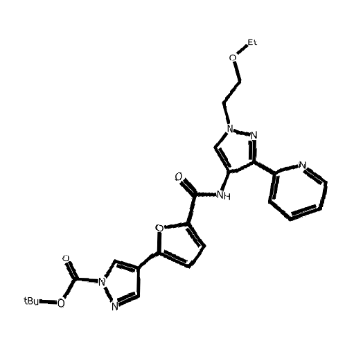 CCOCCn1cc(NC(=O)c2ccc(-c3cnn(C(=O)OC(C)(C)C)c3)o2)c(-c2ccccn2)n1